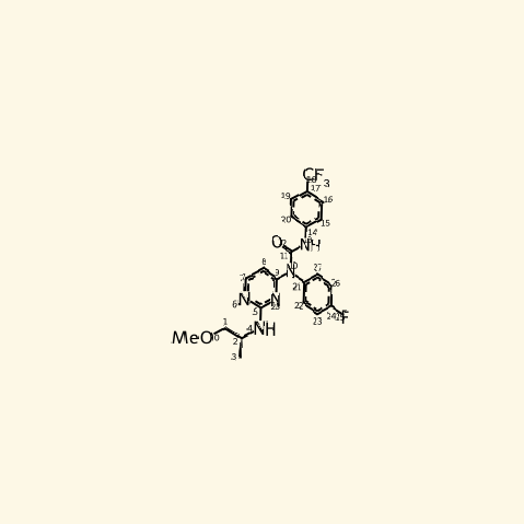 COC[C@H](C)Nc1nccc(N(C(=O)Nc2ccc(C(F)(F)F)cc2)c2ccc(F)cc2)n1